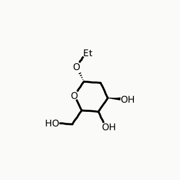 CCO[C@@H]1C[C@@H](O)C(O)C(CO)O1